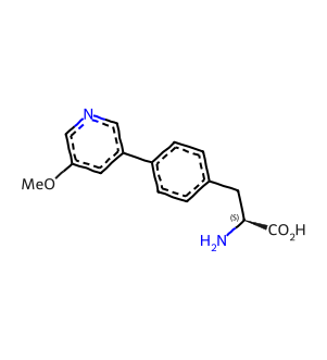 COc1cncc(-c2ccc(C[C@H](N)C(=O)O)cc2)c1